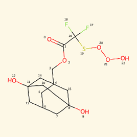 O=C(OCC12CC3CC(O)(CC(O)(C3)C1)C2)C(F)(F)SOOO